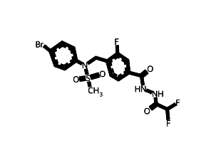 CS(=O)(=O)N(Cc1ccc(C(=O)NNC(=O)C(F)F)cc1F)c1ccc(Br)cc1